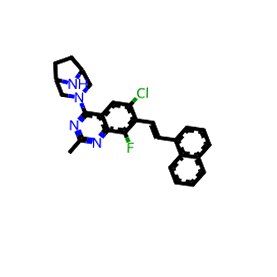 Cc1nc(N2CC3CCC(C2)N3)c2cc(Cl)c(C=Cc3cccc4ccccc34)c(F)c2n1